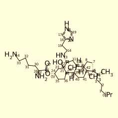 CC(C)CCC[C@@H](C)[C@H]1CC[C@H]2[C@@H]3C[C@@H](NCCc4c[nH]cn4)[C@@]4(O)C[C@@H](OC(=O)[C@@H](N)CCCCN)CC[C@]4(C)[C@H]3CC[C@]12C